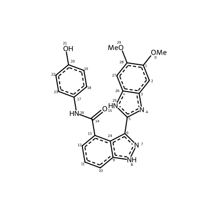 COc1cc2nc(-c3n[nH]c4cccc(C(=O)Nc5ccc(O)cc5)c34)[nH]c2cc1OC